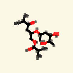 CCCC(CCC)C(=O)CC(COC(=O)C(CCC)CCC)OC(C)CC(O)C(C)O